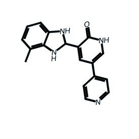 Cc1cccc2c1NC(c1cc(-c3ccncc3)c[nH]c1=O)N2